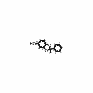 CC1(c2ccccc2)Oc2ccc(O)cc2O1